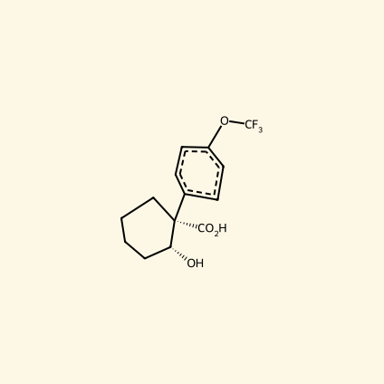 O=C(O)[C@@]1(c2ccc(OC(F)(F)F)cc2)CCCC[C@H]1O